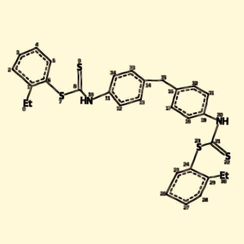 CCc1ccccc1SC(=S)Nc1ccc(Cc2ccc(NC(=S)Sc3ccccc3CC)cc2)cc1